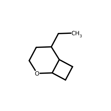 CCC1CCOC2CCC12